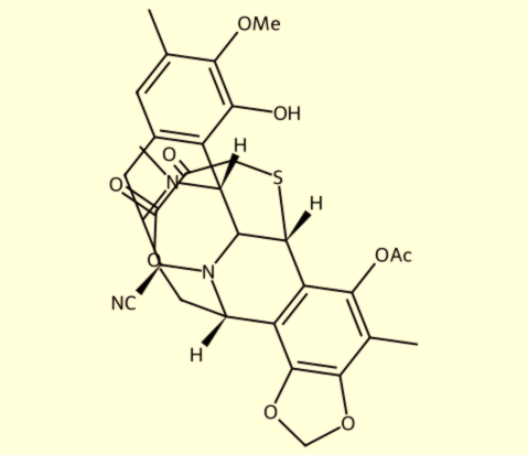 COc1c(C)cc2c(c1O)[C@@H]1C3[C@@H]4SCC(=O)C(=O)OC[C@@H](c5c6c(c(C)c(OC(C)=O)c54)OCO6)N3[C@@H](C#N)C(C2)N1C